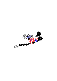 CCCCCCCCCCCCCCCCCCCCOCC(CN(Cc1ccccc1)C(=O)OCc1ccccc1)OP(=O)([O-])OCC[N+](C)(C)C